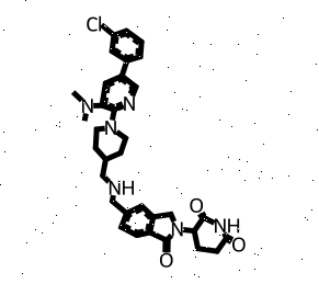 CN(C)c1cc(-c2cccc(Cl)c2)cnc1N1CCC(CNCc2ccc3c(c2)CN(C2CCC(=O)NC2=O)C3=O)CC1